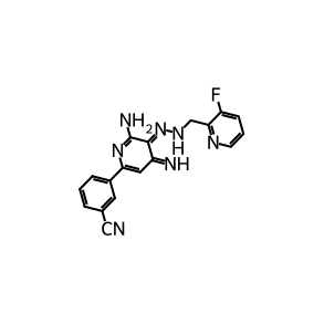 N#Cc1cccc(C2=CC(=N)/C(=N\NCc3ncccc3F)C(N)=N2)c1